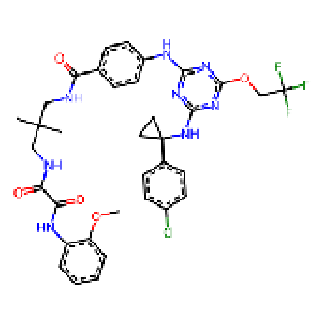 COc1ccccc1NC(=O)C(=O)NCC(C)(C)CNC(=O)c1ccc(Nc2nc(NC3(c4ccc(Cl)cc4)CC3)nc(OCC(F)(F)F)n2)cc1